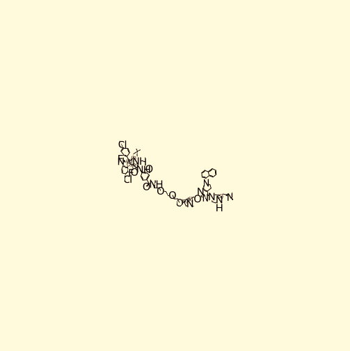 COc1cc(C(=O)NCCOCCOCCO[C@@H]2C[C@@H](COc3nc4c(c(N5CCN[C@@H](CC#N)C5)n3)CCN(c3cccc5ccccc35)C4)N(C)C2)ccc1NC(=O)[C@@H]1N[C@@H](CC(C)(C)C)[C@](C#N)(c2ccc(Cl)cc2F)[C@H]1c1cccc(Cl)c1F